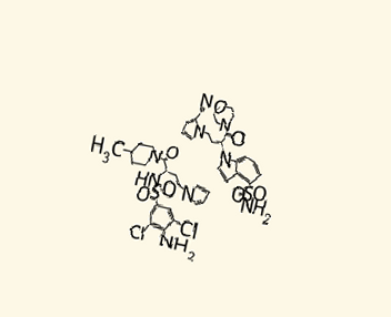 CC1CCN(C(=O)C(CCn2cccc2)NS(=O)(=O)c2cc(Cl)c(N)c(Cl)c2)CC1.N#Cc1cccn1CCC(C(=O)N1CCOCC1)n1ccc2c(S(N)(=O)=O)cccc21